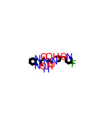 O=C(N[C@@H](O)C(=O)N1CCC(Oc2ccc(F)cn2)CC1)c1nc2ccccc2nc1O